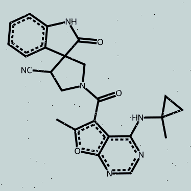 Cc1oc2ncnc(NC3(C)CC3)c2c1C(=O)N1CC(C#N)C2(C1)C(=O)Nc1ccccc12